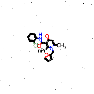 CCCc1c(C(=O)Nc2ccccc2Cl)c(=O)cc(C)n1Cc1ccco1